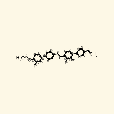 C=Cc1cnc(-c2ccc(CCc3ccc(-c4ccc(OCC)c(F)c4)cc3)c(F)c2F)nc1